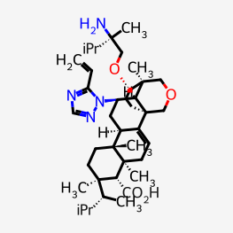 C=Cc1ncnn1[C@@H]1C[C@@]23COC[C@@](C)([C@@H]2CC[C@H]2C3=CC[C@@]3(C)[C@H](C(=O)O)[C@@](C)([C@H](C)C(C)C)CC[C@]23C)[C@H]1OC[C@](C)(N)C(C)C